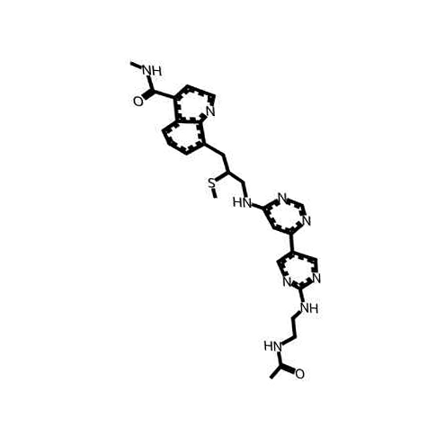 CNC(=O)c1ccnc2c(CC(CNc3cc(-c4cnc(NCCNC(C)=O)nc4)ncn3)SC)cccc12